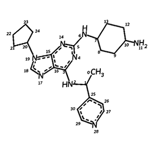 CC(Nc1nc(NC2CCC(N)CC2)nc2c1ncn2C1CCCC1)c1ccncc1